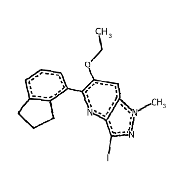 CCOc1cc2c(nc1-c1cccc3c1CCC3)c(I)nn2C